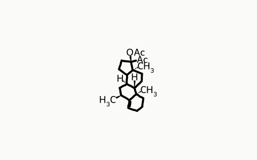 CC(=O)O[C@]1(C(C)=O)CCC2[C@@H]3C[C@H](C)C4=CCCC[C@]4(C)[C@H]3CC[C@@]21C